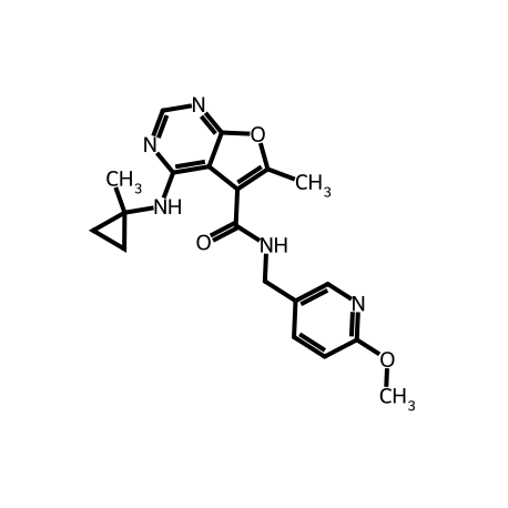 COc1ccc(CNC(=O)c2c(C)oc3ncnc(NC4(C)CC4)c23)cn1